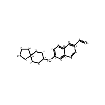 O=Cc1ccc2cc(OC3CCC4(CCCC4)CC3)ccc2c1